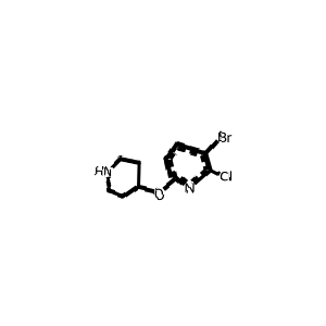 Clc1nc(OC2CCNCC2)ccc1Br